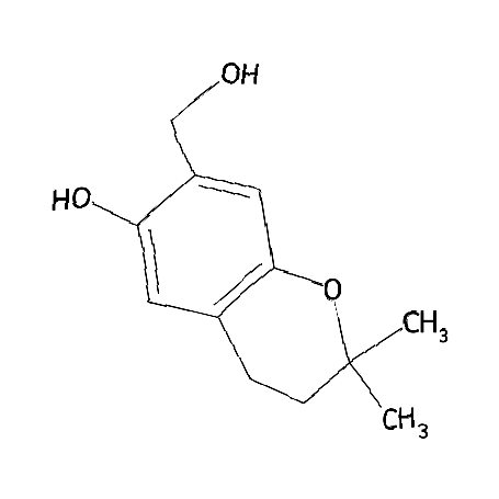 CC1(C)CCc2cc(O)c(CO)cc2O1